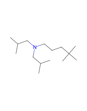 CC(C)CN(CCCC(C)(C)C)CC(C)C